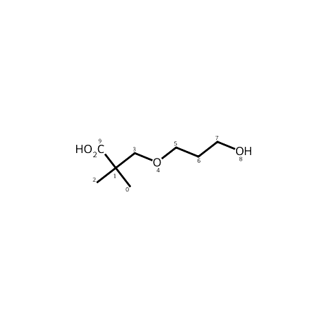 CC(C)(COCCCO)C(=O)O